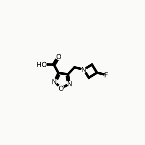 O=C(O)c1nonc1CN1CC(F)C1